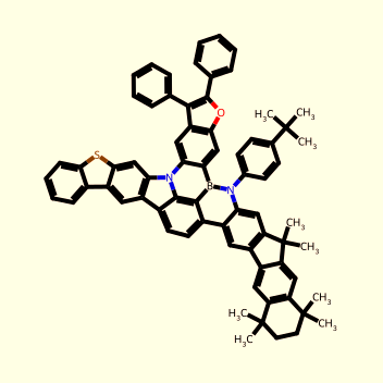 CC(C)(C)c1ccc(N2B3c4cc5oc(-c6ccccc6)c(-c6ccccc6)c5cc4-n4c5cc6sc7ccccc7c6cc5c5ccc(c3c54)-c3cc4c(cc32)C(C)(C)c2cc3c(cc2-4)C(C)(C)CCC3(C)C)cc1